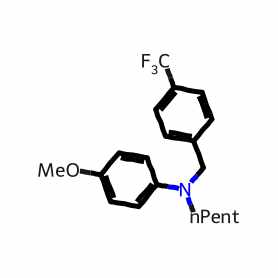 CCCCCN(Cc1ccc(C(F)(F)F)cc1)c1ccc(OC)cc1